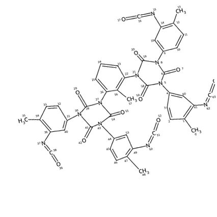 Cc1ccc(-n2c(=O)n(-c3ccc(C)c(N=C=O)c3)c(=O)n(-c3cccc(-n4c(=O)n(-c5ccc(C)c(N=C=O)c5)c(=O)n(-c5ccc(C)c(N=C=O)c5)c4=O)c3C)c2=O)cc1N=C=O